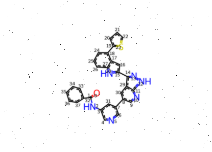 O=C(Nc1cncc(-c2cnc3[nH]nc(-c4cc5c(-c6cccs6)cccc5[nH]4)c3c2)c1)c1ccccc1